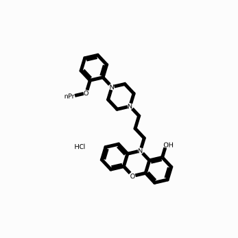 CCCOc1ccccc1N1CCN(CCCN2c3ccccc3Oc3cccc(O)c32)CC1.Cl